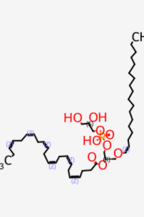 CC/C=C\C/C=C\C/C=C\C/C=C\C/C=C\C/C=C\CCC(=O)O[C@H](CO/C=C\CCCCCCCCCCCCCCCC)COP(=O)(O)OC[C@@H](O)CO